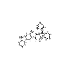 Brc1cc2[nH]c3ccccc3c2cc1-c1ccc2c3ccccc3n(-c3ccccn3)c2c1